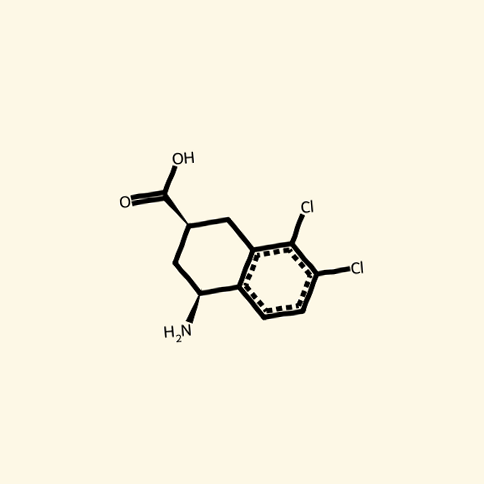 N[C@H]1C[C@@H](C(=O)O)Cc2c1ccc(Cl)c2Cl